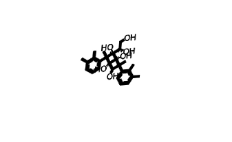 Cc1cccc(C2(C)C(O)[C@@]3(O)C(C)(c4cccc(C)c4C)[C@@](O)([C@H](O)CO)[C@@]23O)c1C